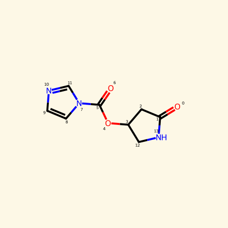 O=C1CC(OC(=O)n2ccnc2)CN1